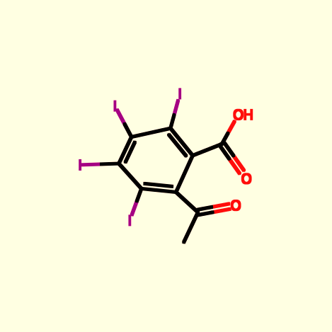 CC(=O)c1c(I)c(I)c(I)c(I)c1C(=O)O